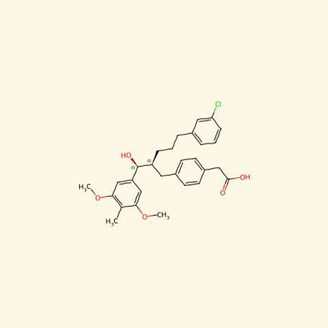 COc1cc([C@@H](O)[C@@H](CCCc2cccc(Cl)c2)Cc2ccc(CC(=O)O)cc2)cc(OC)c1C